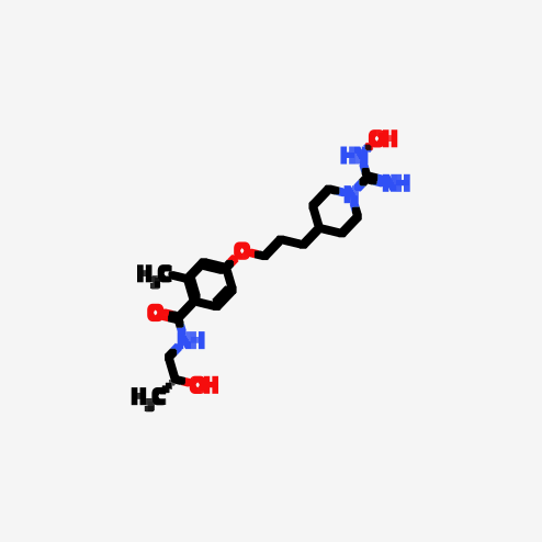 Cc1cc(OCCCC2CCN(C(=N)NO)CC2)ccc1C(=O)NC[C@@H](C)O